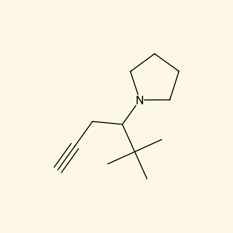 C#CCC(N1CCCC1)C(C)(C)C